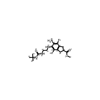 COC(=O)C1Cc2c(F)c(N)c(NCCNC(=O)OC(C)(C)C)c(F)c2C1